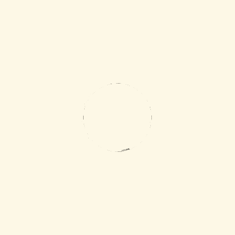 C1=CCCCCCCCCCCCCCCCCCCCCCC1